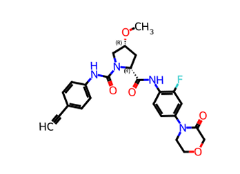 C#Cc1ccc(NC(=O)N2C[C@H](OC)C[C@@H]2C(=O)Nc2ccc(N3CCOCC3=O)cc2F)cc1